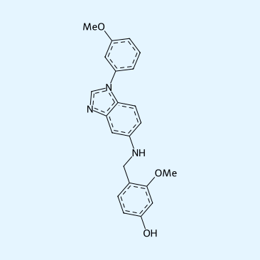 COc1cccc(-n2cnc3cc(NCc4ccc(O)cc4OC)ccc32)c1